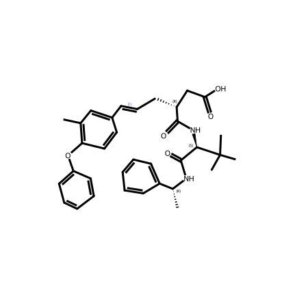 Cc1cc(/C=C/C[C@H](CC(=O)O)C(=O)N[C@H](C(=O)N[C@H](C)c2ccccc2)C(C)(C)C)ccc1Oc1ccccc1